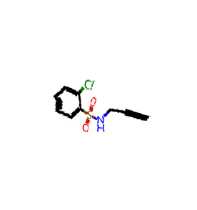 C#CCNS(=O)(=O)c1ccccc1Cl